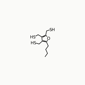 CCCCc1oc(CS)c(CS)c1CS